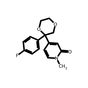 Cn1ccc(C2(c3ccc(F)cc3)COCCO2)cc1=O